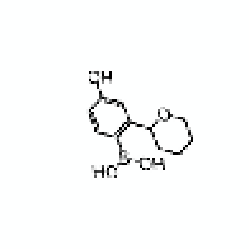 OB(O)c1ccc(O)cc1C1CCCCO1